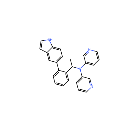 CC(c1ccccc1-c1ccc2[nH]ccc2c1)N(c1cccnc1)c1cccnc1